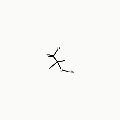 CCCCOC(C)(C)C([O])=O